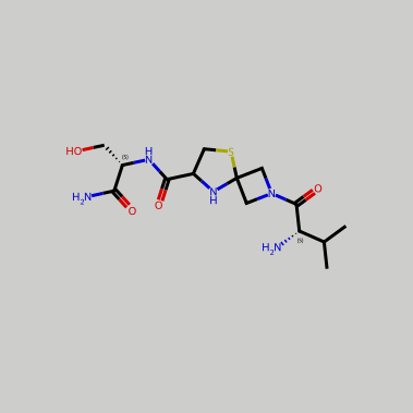 CC(C)[C@H](N)C(=O)N1CC2(C1)NC(C(=O)N[C@@H](CO)C(N)=O)CS2